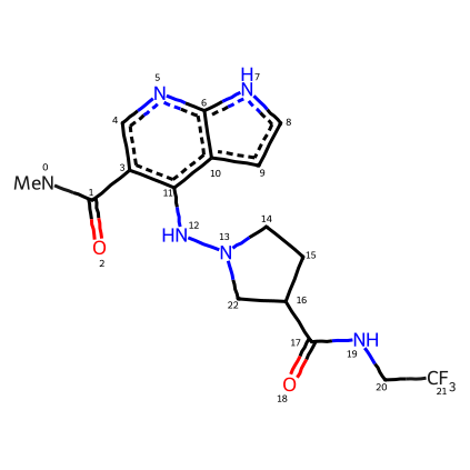 CNC(=O)c1cnc2[nH]ccc2c1NN1CCC(C(=O)NCC(F)(F)F)C1